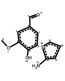 COc1cc(C=O)ccc1O.Nc1cccs1